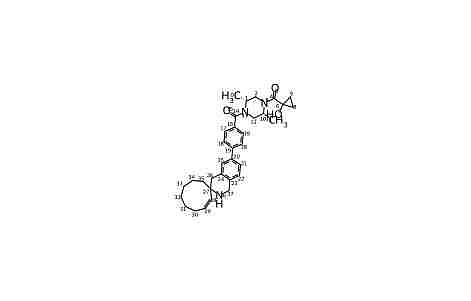 C[C@@H]1CN(C(=O)C2(O)CC2)[C@@H](C)CN1C(=O)c1ccc(-c2ccc3c(c2)CC2(/C=C\CCCCCC2)NC3)cc1